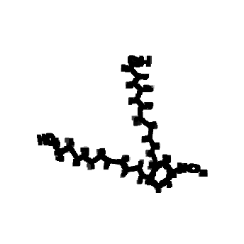 O=[N+]([O-])c1ccc(CCCCCCCCCCCO)c(CCCCCCCCCCCO)c1